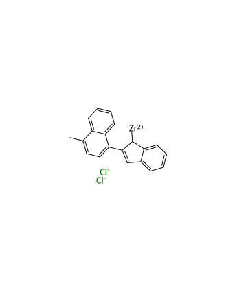 Cc1ccc(C2=Cc3ccccc3[CH]2[Zr+2])c2ccccc12.[Cl-].[Cl-]